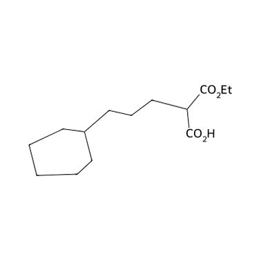 CCOC(=O)C(CCCC1CCCCC1)C(=O)O